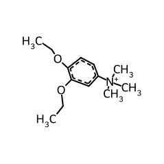 CCOc1ccc([N+](C)(C)C)cc1OCC